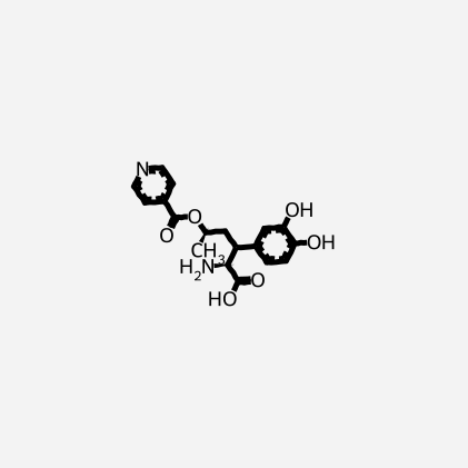 C[C@H](CC(c1ccc(O)c(O)c1)[C@H](N)C(=O)O)OC(=O)c1ccncc1